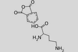 NCCCC(N)C(=O)O.O=C1OC(=O)c2ccccc21